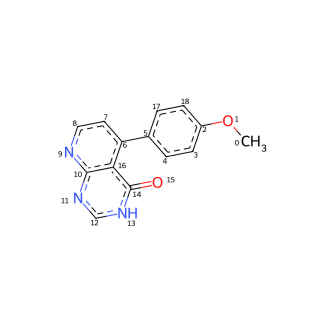 COc1ccc(-c2ccnc3nc[nH]c(=O)c23)cc1